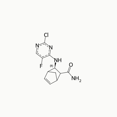 NC(=O)C1C2C=CC(C2)[C@H]1Nc1nc(Cl)ncc1F